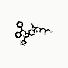 O=C(CBr)CC(=O)NC1C(=O)N2CC(C=Cc3csnn3)(C(=O)OC(c3ccccc3)c3ccccc3)CS[C@H]12